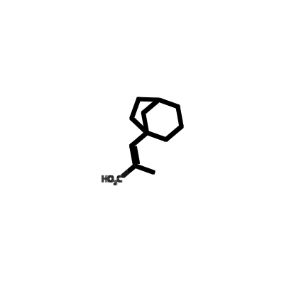 C/C(=C\C12CCCC(CC1)C2)C(=O)O